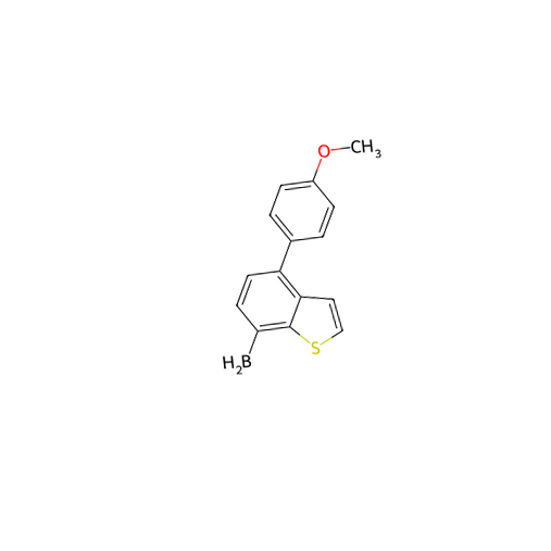 Bc1ccc(-c2ccc(OC)cc2)c2ccsc12